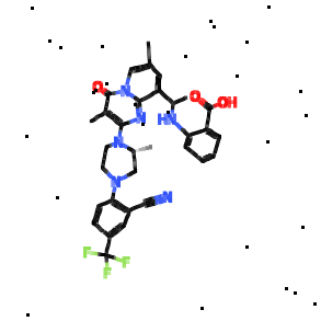 Cc1cc(C(C)Nc2ccccc2C(=O)O)c2nc(N3CCN(c4ccc(C(F)(F)F)cc4C#N)C[C@H]3C)c(C)c(=O)n2c1